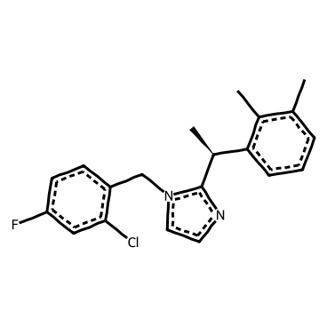 Cc1cccc([C@H](C)c2nccn2Cc2ccc(F)cc2Cl)c1C